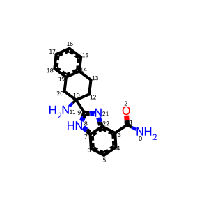 NC(=O)c1cccc2[nH]c(C3(N)CCc4ccccc4C3)nc12